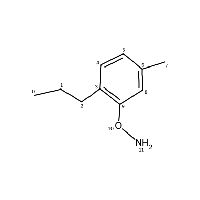 CCCc1ccc(C)cc1ON